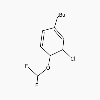 CC(C)(C)C1=CC(Cl)C(OC(F)F)C=C1